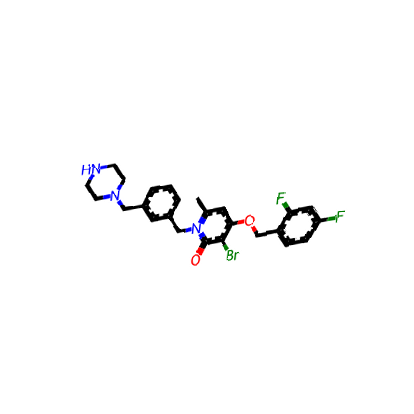 Cc1cc(OCc2ccc(F)cc2F)c(Br)c(=O)n1Cc1cccc(CN2CCNCC2)c1